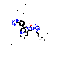 CCCCn1ncnc1-n1cc(CCC)n(CC2(c3cccc(-c4nnn[nH]4)c3)C=CNC=C2)c1=O